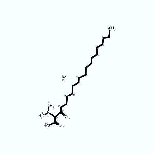 CCCCCCCCCCCCCCCCCC(=O)C(C(=O)O)N(C)C.[Na]